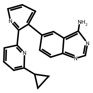 Nc1ncnc2ccc(-c3cccnc3-c3cccc(C4CC4)n3)cc12